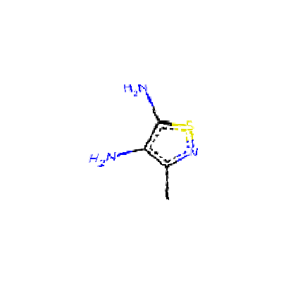 Cc1nsc(N)c1N